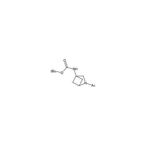 CC(=O)N1CC2(NC(=O)OC(C)(C)C)CC1C2